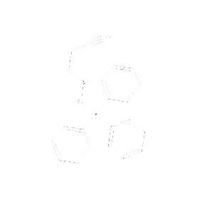 C[C@H](C#N)CC(=O)NC(c1ccccc1)(c1ccccc1)c1ccccc1